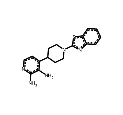 Nc1nccc(C2CCN(c3nc4ccccc4s3)CC2)c1N